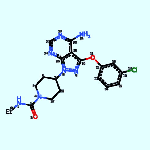 CCNC(=O)N1CCC(n2nc(Oc3cccc(Cl)c3)c3c(N)ncnc32)CC1